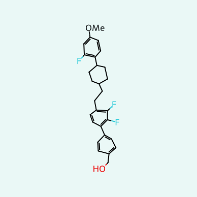 COc1ccc(C2CCC(CCc3ccc(-c4ccc(CO)cc4)c(F)c3F)CC2)c(F)c1